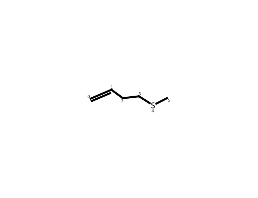 C=CC[CH]SC